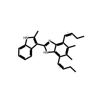 CC/C=C\c1c(C)c(C)c(/C=C\CC)c2[nH]c(-c3c(C)[nH]c4ccccc34)nc12